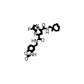 CC1(CNC(=O)c2cc(C(=O)NCc3ccc4oc(=O)[nH]c4c3)nc3c(F)cnn23)CC=CCC1